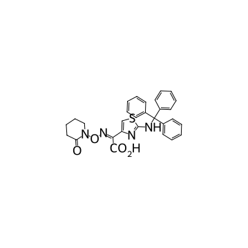 O=C(O)/C(=N\ON1CCCCC1=O)c1csc(NC(c2ccccc2)(c2ccccc2)c2ccccc2)n1